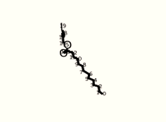 CCCCCCCCCCCCCC(=O)OCC#CI